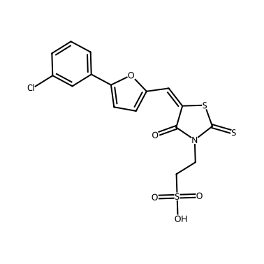 O=C1/C(=C\c2ccc(-c3cccc(Cl)c3)o2)SC(=S)N1CCS(=O)(=O)O